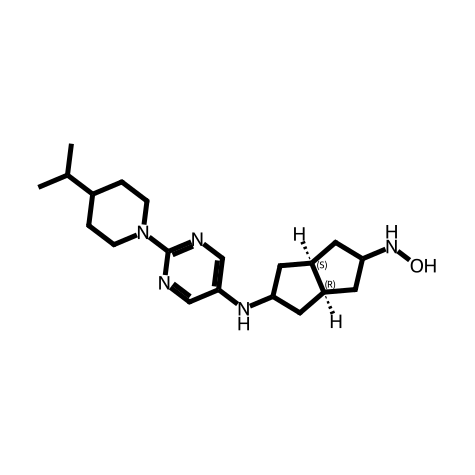 CC(C)C1CCN(c2ncc(NC3C[C@H]4CC(NO)C[C@H]4C3)cn2)CC1